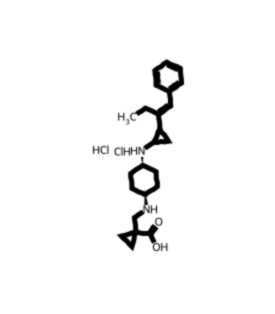 CC/C(=C\c1ccccc1)C1CC1N[C@H]1CC[C@H](NCC2(C(=O)O)CC2)CC1.Cl.Cl